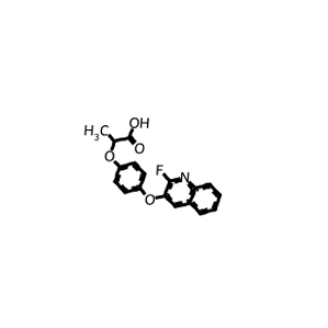 CC(Oc1ccc(Oc2cc3ccccc3nc2F)cc1)C(=O)O